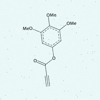 C#CC(=O)Oc1cc(OC)c(OC)c(OC)c1